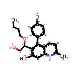 CCCCOC(CO)c1c(C)cc2nc(C)ccc2c1-c1ccc(Cl)cc1